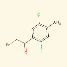 Cc1cc(F)c(C(=O)CBr)cc1Cl